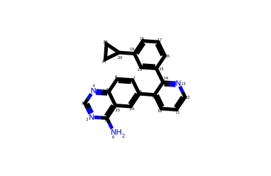 Nc1ncnc2ccc(-c3cccnc3-c3cccc(C4CC4)c3)cc12